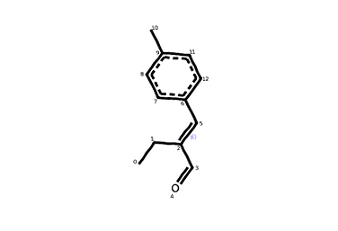 CC/C(C=O)=C\c1ccc(C)cc1